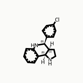 Clc1ccc([C@@H]2Nc3ccccc3[C@@H]3NCC[C@H]23)cc1